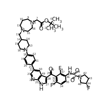 CC(C)(C)OC(=O)CN1CCCN(CC2CCN(c3ccc(-c4cnc5[nH]cc(C(=O)c6c(F)ccc(NS(=O)(=O)N7CC[C@@H](F)C7)c6F)c5c4)cc3)CC2)CC1